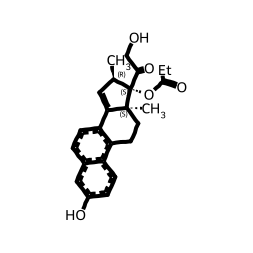 CCC(=O)O[C@@]1(C(=O)CO)[C@H](C)C=C2c3ccc4cc(O)ccc4c3CC[C@@]21C